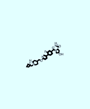 CC1(CN2CCC(COc3ccc(-c4ccc(C(=O)N5C[C@H](O)C[C@H]5C(N)=O)cc4F)cn3)CC2)CCC1